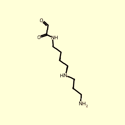 NCCCNCCCCNC(=O)C=O